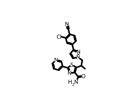 CC(Cn1ccc(-c2ccc(C#N)c(Cl)c2)n1)c1sc(-c2cccnc2)nc1C(N)=O